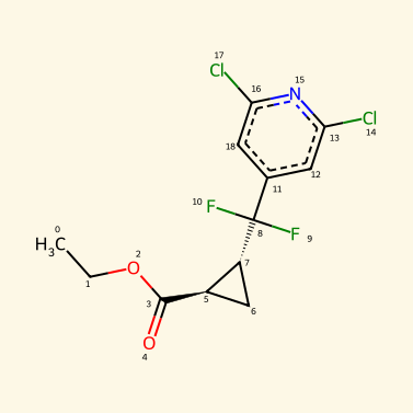 CCOC(=O)[C@@H]1C[C@H]1C(F)(F)c1cc(Cl)nc(Cl)c1